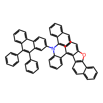 c1ccc(-c2c(-c3ccccc3)c3cc(N(c4ccccc4-c4cccc5oc6c7ccccc7ccc6c45)c4cccc5ccccc45)ccc3c3ccccc23)cc1